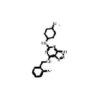 CC(=O)c1ccccc1CNc1nc(NC2CCC(N)CC2)nc2[nH]nnc12